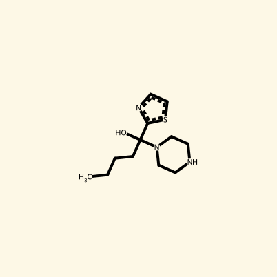 CCCCC(O)(c1nccs1)N1CCNCC1